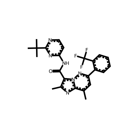 Cc1nc2c(C)cc(-c3ccccc3C(F)(F)F)nn2c1C(=O)Nc1ccnc(C(C)(C)C)n1